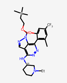 CCN1CCC[C@@H](Nc2nnc(-c3c(C)cc(C(F)(F)F)cc3O)c3c2cnn3COCC[Si](C)(C)C)C1